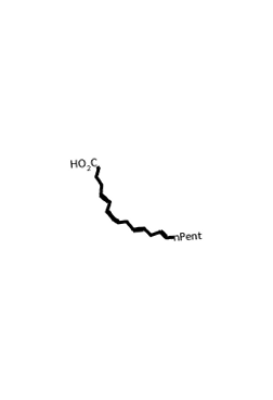 CCCCCC=CCC=CCC=C=CC=CCCCC(=O)O